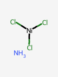 N.[Cl][Ni]([Cl])[Cl]